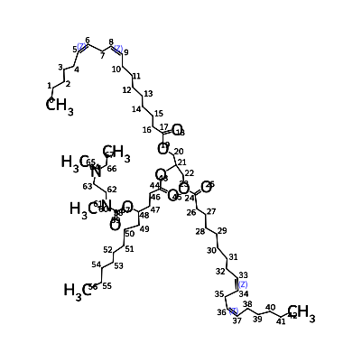 CCCCC/C=C\C/C=C\CCCCCCCC(=O)OCC(COC(=O)CCCCCCC/C=C\C/C=C\CCCCC)OC(=O)CCC(CCCCCCCC)OC(=O)N(C)CCN(C)CC